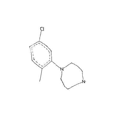 Cc1ccc(Cl)cc1N1CC[N]CC1